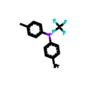 Cc1ccc([I+]c2ccc(C(C)C)cc2)cc1.F[B-](F)(F)F